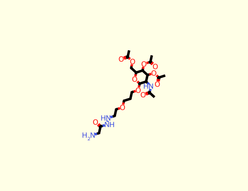 CC(=O)NC1C(OCCCOCCNNC(=O)CN)OC(COC(C)=O)C(OC(C)=O)C1OC(C)=O